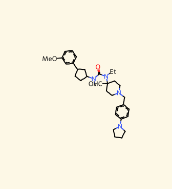 CCN(C(=O)N(C)C1CCC(c2cccc(OC)c2)C1)C1(C=O)CCN(Cc2ccc(N3CCCC3)cc2)CC1